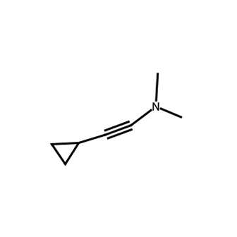 CN(C)C#CC1CC1